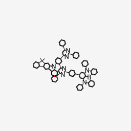 CC1(C)c2ccccc2-c2cc3c4ccccc4n(-c4ccc(-c5cc(-c6ccccc6)nc(-c6ccccc6)n5)cc4-c4cc(-c5ccccc5)nc(-c5ccc(-c6cc7c8c(c6)N(c6ccccc6)c6ccccc6B8c6ccccc6N7c6ccccc6)cc5)n4)c3cc21